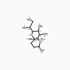 OC[C@H](O)C1O[C@H]2CCC(O)O[C@@H]2C(O)C1O